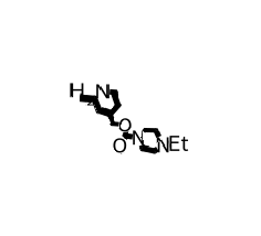 C=C/C=C(\C=C/N)COC(=O)N1CCN(CC)CC1